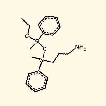 CCO[Si](C)(O[Si](C)(CCCN)c1ccccc1)c1ccccc1